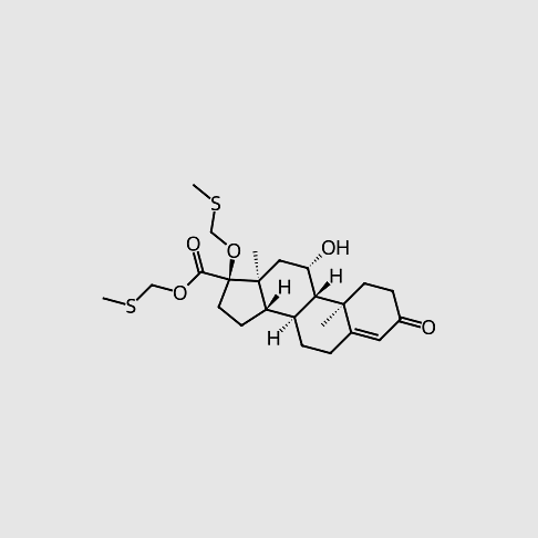 CSCOC(=O)[C@@]1(OCSC)CC[C@H]2[C@@H]3CCC4=CC(=O)CC[C@]4(C)[C@H]3[C@@H](O)C[C@@]21C